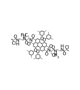 C=C(Cl)C(=O)NCCNC(=O)C(CC(F)(F)F)N1C(=O)c2cc(Oc3cc(C)cc(C)c3)c3c4c(Oc5cc(C)cc(C)c5)cc5c6c(cc(Oc7cc(C)cc(C)c7)c(c7c(Oc8cc(C)cc(C)c8)cc(c2c37)C1=O)c64)C(=O)N(C(CC(F)(F)F)C(=O)NCCNC(=O)C(=C)Cl)C5=O